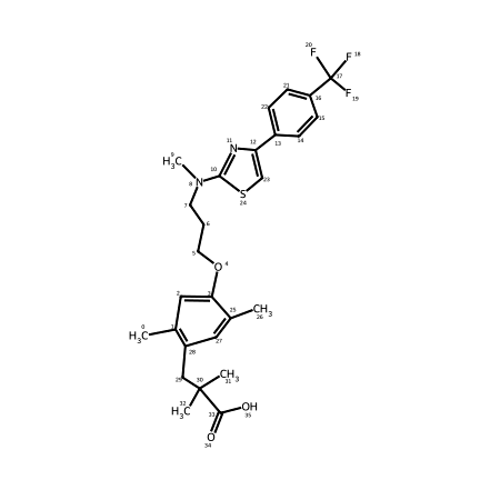 Cc1cc(OCCCN(C)c2nc(-c3ccc(C(F)(F)F)cc3)cs2)c(C)cc1CC(C)(C)C(=O)O